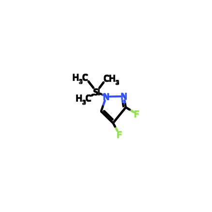 C[Si](C)(C)n1cc(F)c(F)n1